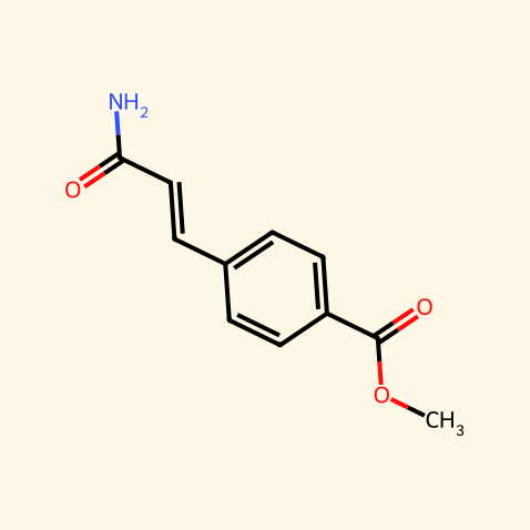 COC(=O)c1ccc(C=CC(N)=O)cc1